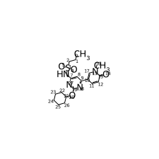 CCCS(=O)(=O)Nc1cc(-c2ccc(=O)n(C)c2)nc(OC2CCCCC2)n1